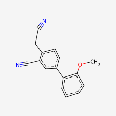 COc1ccccc1-c1ccc(CC#N)c(C#N)c1